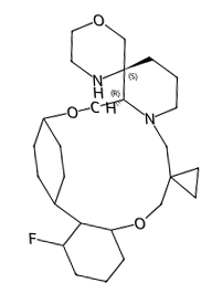 FC1CCCC2OCC3(CC3)CN3CCC[C@@]4(COCCN4)[C@@H]3COC3CCC(CC3)C12